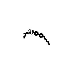 CCCCCCCc1ccc(-c2ccc(C(C)OC(=O)CCC(C)CCC)cc2)cc1